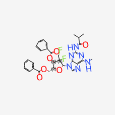 CNc1nc(NC(=O)C(C)C)nc2c1ncn2C1O[C@H](COC(=O)c2ccccc2)[C@@H](OC(=O)c2ccccc2)[C@]1(F)CF